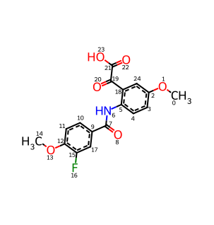 COc1ccc(NC(=O)c2ccc(OC)c(F)c2)c(C(=O)C(=O)O)c1